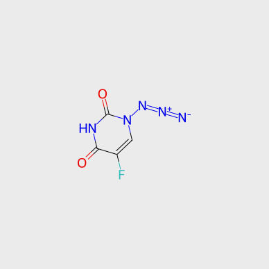 [N-]=[N+]=Nn1cc(F)c(=O)[nH]c1=O